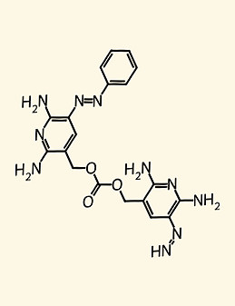 N=Nc1cc(COC(=O)OCc2cc(N=Nc3ccccc3)c(N)nc2N)c(N)nc1N